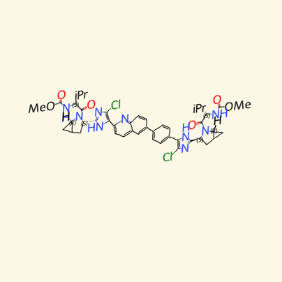 COC(=O)N[C@H](C(=O)N1[C@@H]2CC2C[C@H]1c1nc(Cl)c(-c2ccc(-c3ccc4nc(-c5[nH]c([C@@H]6CC7C[C@H]7N6C(=O)[C@@H](NC(=O)OC)C(C)C)nc5Cl)ccc4c3)cc2)[nH]1)C(C)C